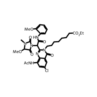 CCOC(=O)CCCCCCCn1c(C(C(=O)Nc2ccccc2OC)N2C(=O)C(OC)N(C)C2=O)nc2c(NC(C)=O)cc(Cl)cc2c1=O